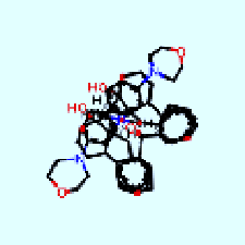 CN(C)C1(Cc2ccccc2)C(c2ccccc2C(=O)c2ccccc2C2CCCC(O)(c3ccc(N4CCOCC4)cc3)C2(Cc2ccccc2)N(C)C)CCCC1(O)c1ccc(N2CCOCC2)cc1